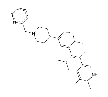 C=C(/C=C(/C)C(C)=N)/C(C)=C(/C(=C/C(=C\C)C1CCN(Cc2cccnn2)CC1)C(C)C)C(C)C